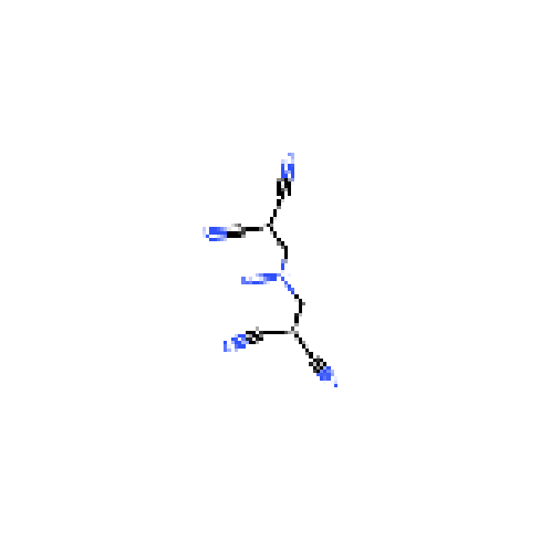 N#CC(C#N)C[N+](=[N-])CC(C#N)C#N